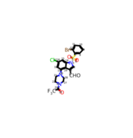 O=Cc1cn(S(=O)(=O)c2ccccc2Br)c2cc(Cl)cc(N3CCN(C(=O)C(F)(F)F)CC3)c12